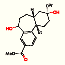 CCC[C@]1(O)CC[C@]2(CC)c3ccc(C(=O)OC)cc3C(O)CC[C@@H]2C1